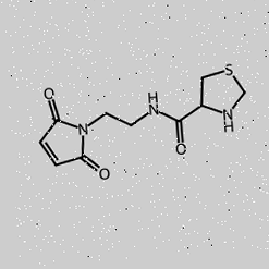 O=C(NCCN1C(=O)C=CC1=O)C1CSCN1